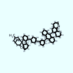 CC1CC2CC(C)C3(c4ccccc4-c4c(-c5ccc(-c6cccc(-c7c8ccccc8c(-c8cc9cccnc9c9ncccc89)c8ccccc78)c6)cc5)cccc43)C(C1)C2